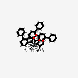 CC1=Cc2c(-c3ccccc3)cccc2[CH]1[Zr]([Cl])([Cl])([CH]1C(C(C)C)=Cc2c(-c3ccccc3)cccc21)([CH]1C(C(C)C)=Cc2c(-c3ccccc3)cccc21)[SiH](C)C